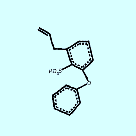 C=CCc1cccc(Oc2ccccc2)c1S(=O)(=O)O